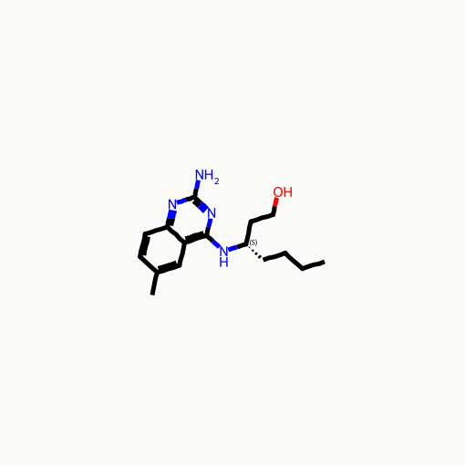 CCCC[C@@H](CCO)Nc1nc(N)nc2ccc(C)cc12